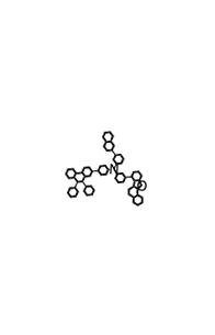 c1ccc(-c2c(-c3ccccc3)c3cc(-c4ccc(N(c5cccc(-c6ccc7ccccc7c6)c5)c5cccc(-c6cccc7oc8c9ccccc9ccc8c67)c5)cc4)ccc3c3ccccc23)cc1